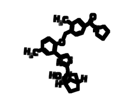 Cc1ccc(OCc2ccc(C(=O)N3CCCC3)cc2C)c(-c2csc(N3C[C@@H]4CC[C@@H](C3)C4C(=O)O)n2)c1